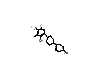 Cc1c(N)c(N)cc(C2CCC(C3CCC(N)CC3)CC2)c1N